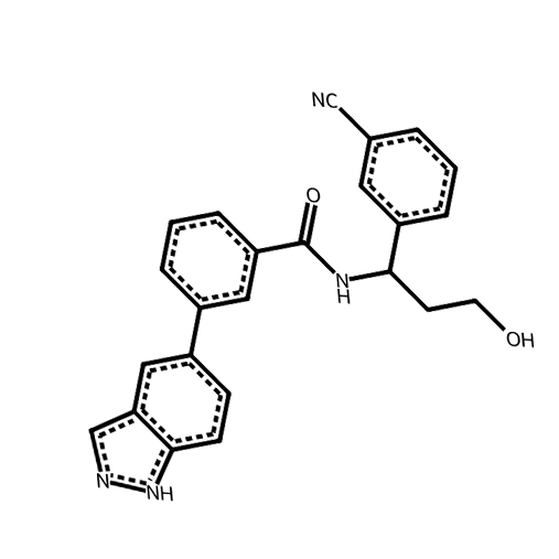 N#Cc1cccc(C(CCO)NC(=O)c2cccc(-c3ccc4[nH]ncc4c3)c2)c1